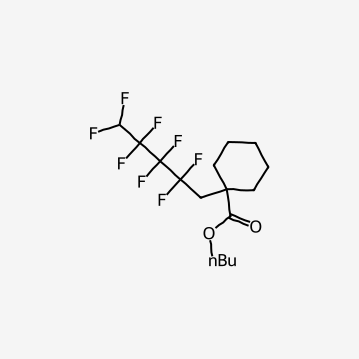 CCCCOC(=O)C1(CC(F)(F)C(F)(F)C(F)(F)C(F)F)CCCCC1